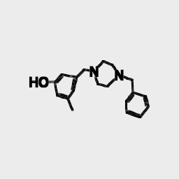 Cc1cc(O)cc(CN2CCN(Cc3ccccc3)CC2)c1